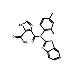 Cc1ccc(N(C(=O)c2nc[nH]c2C(N)=O)c2nc3ccccc3s2)c(C)c1